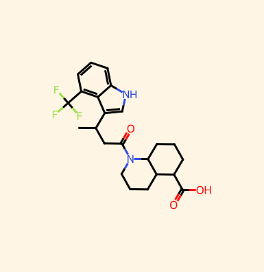 CC(CC(=O)N1CCCC2C(C(=O)O)CCCC21)c1c[nH]c2cccc(C(F)(F)F)c12